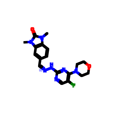 Cn1c(=O)n(C)c2cc(/C=N\Nc3ncc(F)c(N4CCOCC4)n3)ccc21